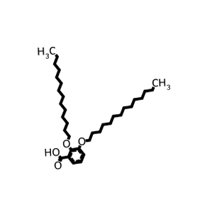 CCCCCCCCCCCCCCOc1cccc(C(=O)O)c1OCCCCCCCCCCCCCC